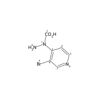 NN(C(=O)O)c1ccncc1Br